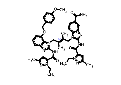 CCn1nc(C)cc1C(=O)Nc1nc2cc(C(N)=O)ccc2n1C/C(C)=C(\C)Cn1c(NC(=O)c2cc(C)nn2CC)nc2cccc(OCc3ccc(OC)cc3)c21